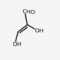 O=[C]C(O)=CO